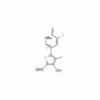 C=C/C(F)=C\C(=C/CCCC)c1sc(C=O)c(O)c1C